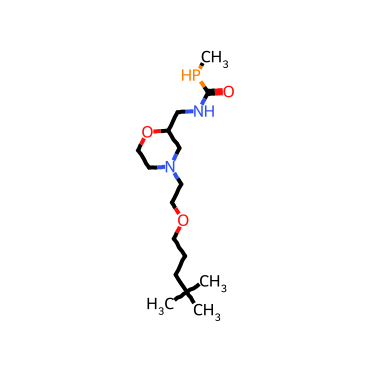 CPC(=O)NCC1CN(CCOCCCC(C)(C)C)CCO1